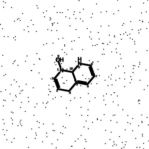 ON1C=CCC2=CC=CNC21